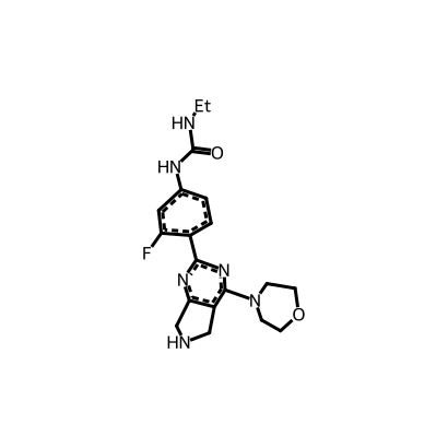 CCNC(=O)Nc1ccc(-c2nc3c(c(N4CCOCC4)n2)CNC3)c(F)c1